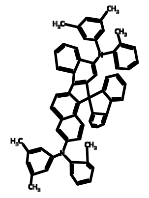 Cc1cc(C)cc(N(c2ccc3c4c(ccc3c2)-c2c(cc(N(c3cc(C)cc(C)c3)c3ccccc3C)c3ccccc23)C42c3ccccc3-c3ccccc32)c2ccccc2C)c1